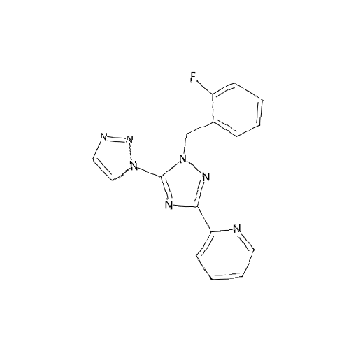 Fc1ccccc1Cn1nc(-c2ccccn2)nc1-n1ccnn1